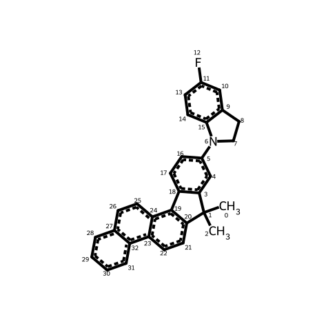 CC1(C)c2cc(N3CCc4cc(F)ccc43)ccc2-c2c1ccc1c2ccc2ccccc21